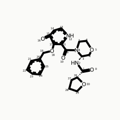 O=C(N[C@H]1COCCN1C(=O)c1[nH]ccc(=O)c1OCc1ccccc1)[C@H]1CCCO1